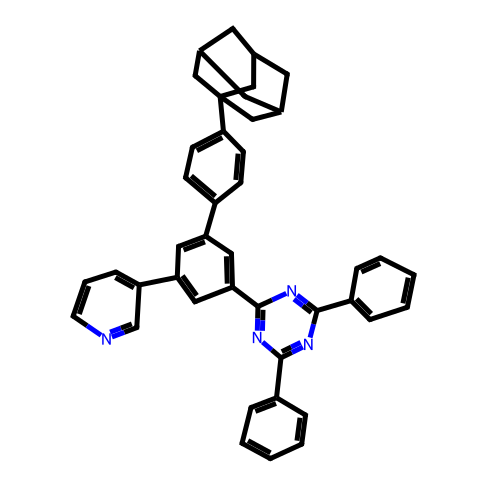 c1ccc(-c2nc(-c3ccccc3)nc(-c3cc(-c4ccc(C56CC7CC(CC(C7)C5)C6)cc4)cc(-c4cccnc4)c3)n2)cc1